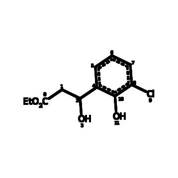 CCOC(=O)CC(O)c1cccc(Cl)c1O